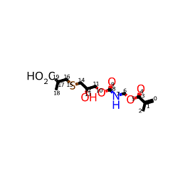 C=C(C)C(=O)OCNC(=O)OCC(O)CSCC(C)C(=O)O